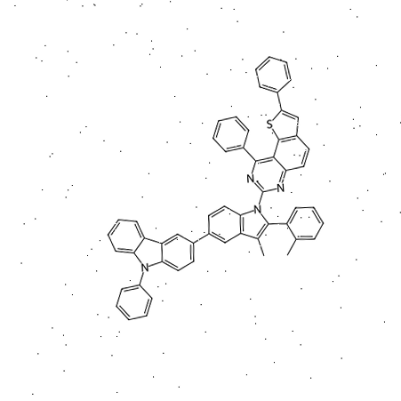 Cc1ccccc1-c1c(C)c2cc(-c3ccc4c(c3)c3ccccc3n4-c3ccccc3)ccc2n1-c1nc(-c2ccccc2)c2c(ccc3cc(-c4ccccc4)sc32)n1